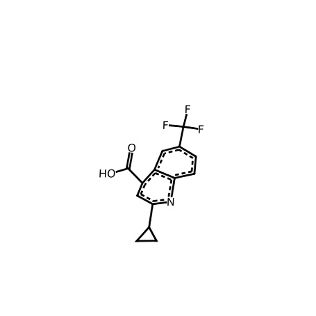 O=C(O)c1cc(C2CC2)nc2ccc(C(F)(F)F)cc12